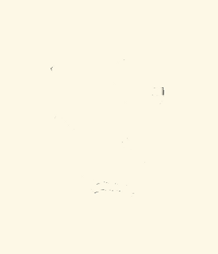 Cc1c(Cl)cc2ccccc2c1Cl